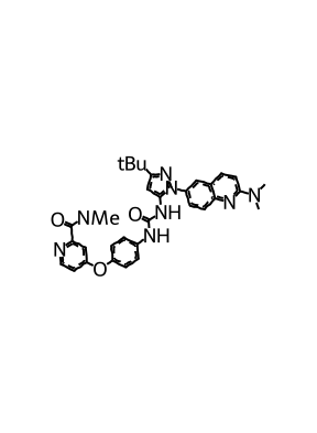 CNC(=O)c1cc(Oc2ccc(NC(=O)Nc3cc(C(C)(C)C)nn3-c3ccc4nc(N(C)C)ccc4c3)cc2)ccn1